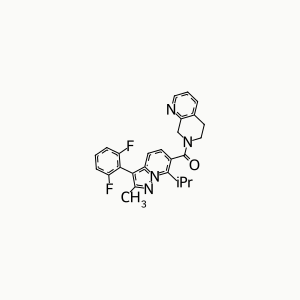 Cc1nn2c(C(C)C)c(C(=O)N3CCc4cccnc4C3)ccc2c1-c1c(F)cccc1F